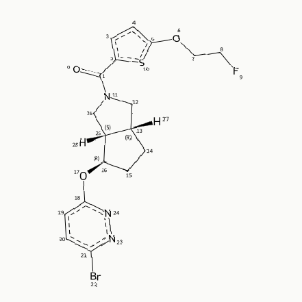 O=C(c1ccc(OCCF)s1)N1C[C@@H]2CC[C@@H](Oc3ccc(Br)nn3)[C@@H]2C1